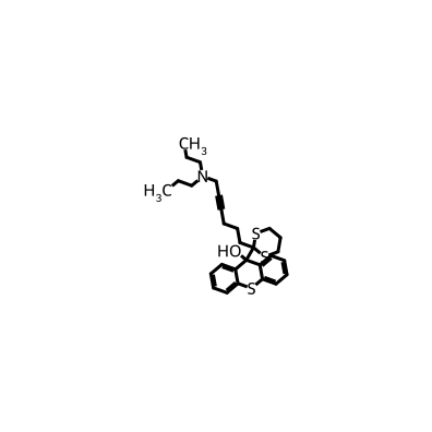 CCCN(CC#CCCCC1(C2(O)c3ccccc3Sc3ccccc32)SCCCS1)CCC